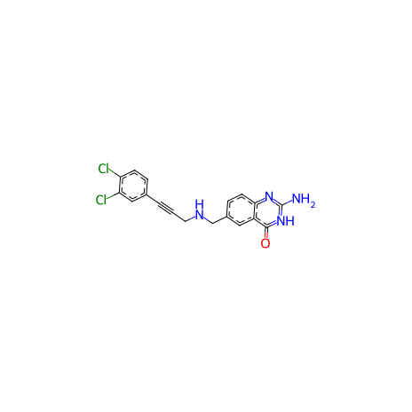 Nc1nc2ccc(CNCC#Cc3ccc(Cl)c(Cl)c3)cc2c(=O)[nH]1